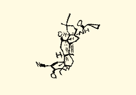 CC1(C)CC[C@]2(NC(=O)C3CC3)CC[C@]3(C)[C@H](C(=O)C[C@@H]4[C@@]5(C)C=C(C#N)C(=O)C(C)(C)[C@@H]5CC[C@]43C)[C@H]2C1